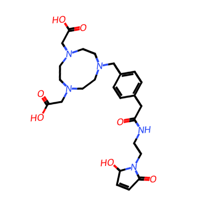 O=C(O)CN1CCN(CC(=O)O)CCN(Cc2ccc(CC(=O)NCCN3C(=O)C=CC3O)cc2)CC1